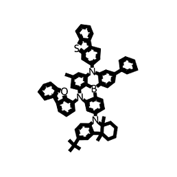 Cc1cc2c3c(c1)N(c1cccc4c1oc1ccccc14)c1cc(N4c5ccc(C(C)(C)C)cc5C5(C)CCCCC45C)ccc1B3c1ccc(-c3ccccc3)cc1N2c1ccc2c(c1)sc1ccccc12